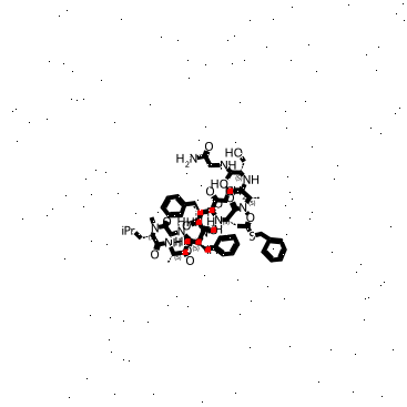 CC(C)C[C@@H](C(=O)N[C@@H](C)C(=O)N[C@H](C(=O)N[C@@H](Cc1ccccc1)C(=O)N[C@@H](CC(=O)SCc1ccccc1)C(=O)N(C)[C@@H](C)C(=O)N[C@@H](CO)C(O)NCC(N)=O)C(C)C)N(C)C(=O)CNC(=O)[C@H](Cc1ccccc1)N(C)C(=O)[C@H](C)NC(=O)CN